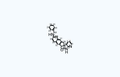 O=C1Nc2ncccc2C12Cc1cc3ccc(NCc4ccccc4)nc3cc1C2